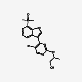 CC(CO)Nc1ncc(Br)c(-c2c[nH]c3c(P(C)(C)=O)cccc23)n1